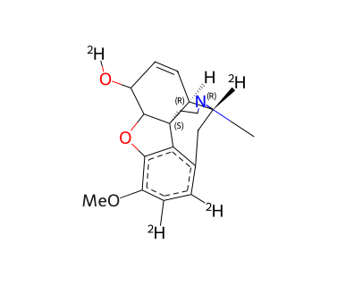 [2H]OC1C=C[C@@H]2[C@@]34CCN(C)[C@]2([2H])Cc2c([2H])c([2H])c(OC)c(c23)OC14